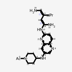 CC(=O)N1CCC(Nc2cnc3ccc(N/C(N)=C/C(=C\N)C(C)C)nc3c2)CC1